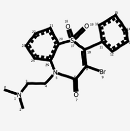 CN(C)CCN1C(=O)C(Br)=C(c2ccccc2)S(=O)(=O)c2ccccc21